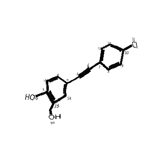 Oc1ccc(C#Cc2ccc(Cl)cc2)cc1O